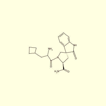 NC(=O)[C@@H]1C[C@@]2(CN1C(=O)C(N)CC1CCC1)C(=O)Nc1ccccc12